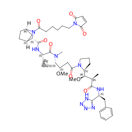 CC[C@H](C)[C@@H]([C@H](CC(=O)N1CCC[C@H]1[C@H](OC)[C@@H](C)C(=O)N[C@@H](Cc1ccccc1)c1nnn[nH]1)OC)N(C)C(=O)[C@@H](NC(=O)[C@@H]1[C@H]2CC[C@H](C2)N1C(=O)CCCCCN1C(=O)C=CC1=O)C(C)C